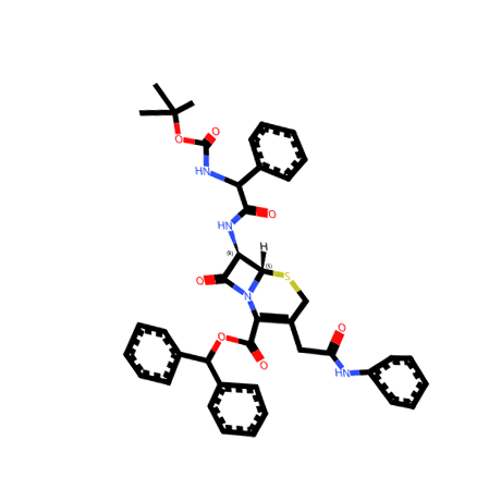 CC(C)(C)OC(=O)NC(C(=O)N[C@@H]1C(=O)N2C(C(=O)OC(c3ccccc3)c3ccccc3)=C(CC(=O)Nc3ccccc3)CS[C@@H]12)c1ccccc1